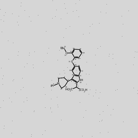 CC(C)N1CCC(c2c(C(C(=O)O)C(=O)O)[nH]c3ccc(Sc4ccccc4OC(C)(C)C)cc23)CC1